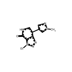 CCn1nnc2c(-c3cnn(C)c3)c[nH]c(=O)c21